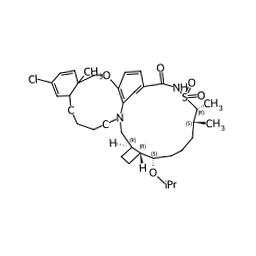 CC(C)O[C@H]1CCC[C@H](C)[C@@H](C)S(=O)(=O)NC(=O)c2ccc3c(c2)N(CCCCC2C=C(Cl)C=CC2(C)CO3)C[C@@H]2CC[C@H]21